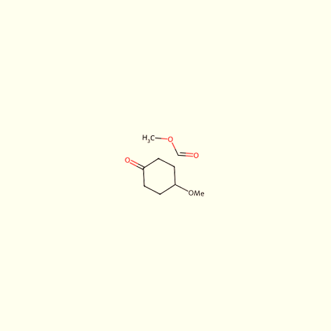 COC1CCC(=O)CC1.COC=O